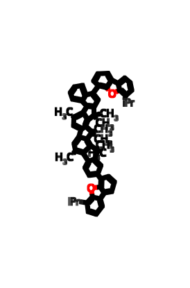 Cc1cc2c(c3c1-c1ccc(-c4cccc5c4oc4c(C(C)C)cccc45)cc1C3(C)C)C(C)(C)c1c-2cc(C)c2c1C(C)(C)c1cc(-c3cccc4c3oc3c(C(C)C)cccc34)c3ccccc3c1-2